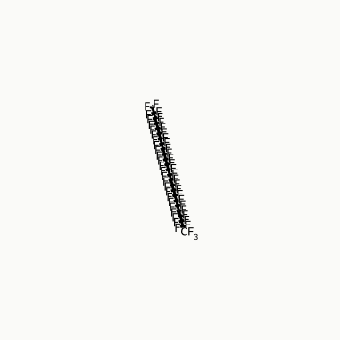 F[C](F)C(F)(F)C(F)(F)C(F)(F)C(F)(F)C(F)(F)C(F)(F)C(F)(F)C(F)(F)C(F)(F)C(F)(F)C(F)(F)C(F)(F)C(F)(F)C(F)(F)C(F)(F)C(F)(F)C(F)(F)C(F)(F)C(F)(F)C(F)(F)C(F)(F)C(F)(F)C(F)(F)C(F)(F)F